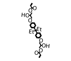 C=CC(=O)OCC(O)COc1ccc(C(CC)(CC)c2ccc(OCC(O)COC(=O)C=C)cc2)cc1